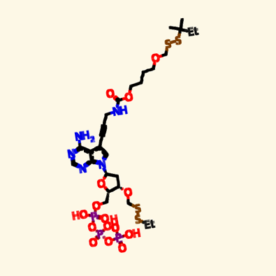 CCSSCO[C@H]1C[C@H](n2cc(C#CCNC(=O)OCCCCOCSSC(C)(C)CC)c3c(N)ncnc32)O[C@@H]1COP(=O)(O)OP(=O)(O)OP(=O)(O)O